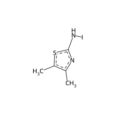 Cc1nc(NI)sc1C